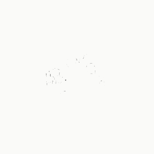 O=C(c1ccc(OC(F)(F)F)cc1)N1CCC(c2ccnc3[nH]c(C4CCCCC4)nc23)CC1